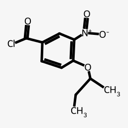 CCC(C)Oc1ccc(C(=O)Cl)cc1[N+](=O)[O-]